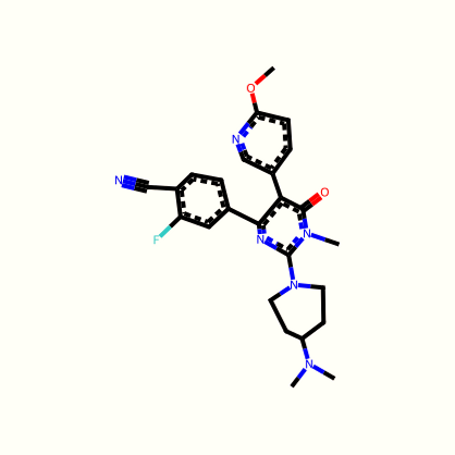 COc1ccc(-c2c(-c3ccc(C#N)c(F)c3)nc(N3CCC(N(C)C)CC3)n(C)c2=O)cn1